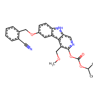 COCc1c(OC(=O)OC(C)C)ncc2[nH]c3ccc(OCc4ccccc4C#N)cc3c12